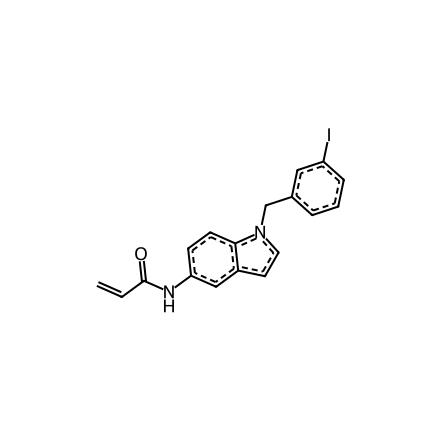 C=CC(=O)Nc1ccc2c(ccn2Cc2cccc(I)c2)c1